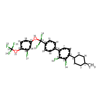 CC1CCC(c2ccc(-c3ccc(C(F)(F)Oc4ccc(OC(F)(F)F)c(F)c4)cc3)c(F)c2F)CC1